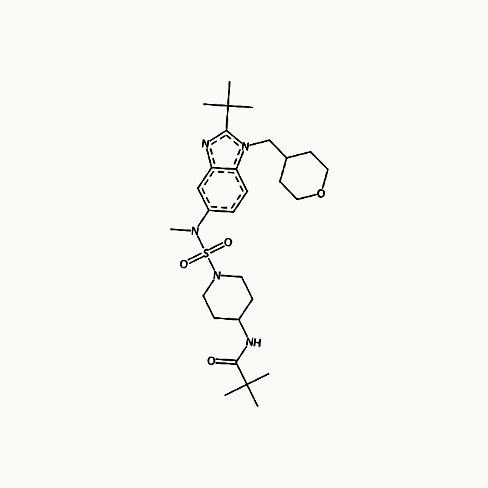 CN(c1ccc2c(c1)nc(C(C)(C)C)n2CC1CCOCC1)S(=O)(=O)N1CCC(NC(=O)C(C)(C)C)CC1